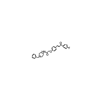 O=C(COc1ccc(/C=C/C(=O)c2ccc(F)cc2)cc1)NC1CCN(Cc2ccccc2)CC1